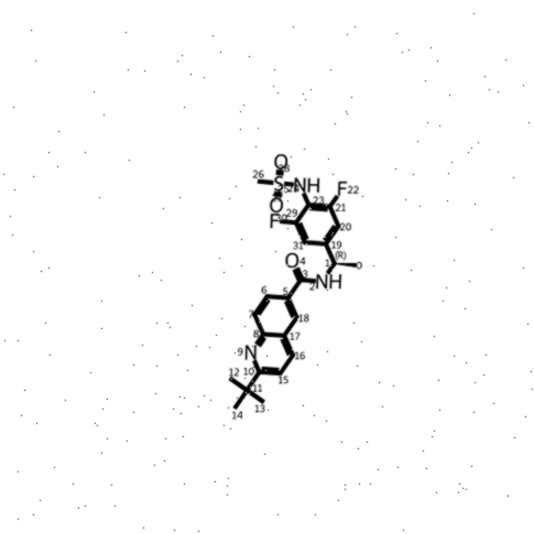 C[C@@H](NC(=O)c1ccc2nc(C(C)(C)C)ccc2c1)c1cc(F)c(NS(C)(=O)=O)c(F)c1